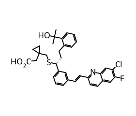 CC(C)(O)c1ccccc1CC[C@@H](SCC1(CC(=O)O)CC1)c1cccc(/C=C/c2ccc3cc(F)c(Cl)cc3n2)c1